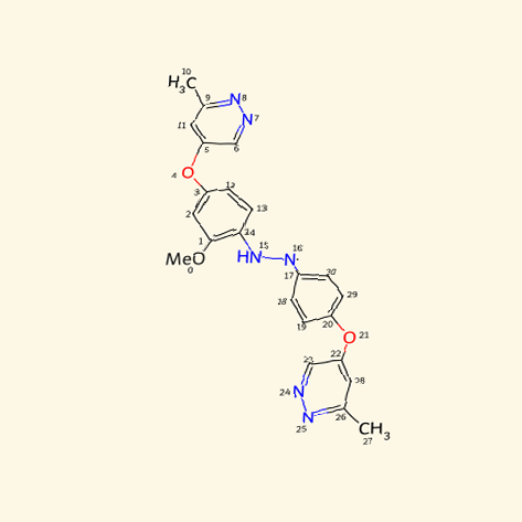 COc1cc(Oc2cnnc(C)c2)ccc1N[N]c1ccc(Oc2cnnc(C)c2)cc1